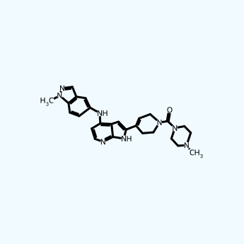 CN1CCN(C(=O)N2CC=C(c3cc4c(Nc5ccc6c(cnn6C)c5)ccnc4[nH]3)CC2)CC1